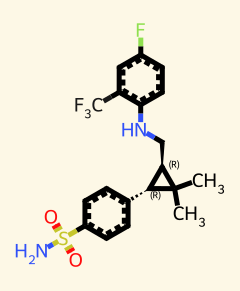 CC1(C)[C@H](CNc2ccc(F)cc2C(F)(F)F)[C@H]1c1ccc(S(N)(=O)=O)cc1